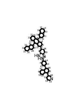 N=C1C=C(c2ccc3c(-c4ccc5ccccc5c4)c4ccccc4c(-c4ccc5ccccc5c4)c3c2)C=C/C1=N/Nc1ccc(-c2ccc(-c3cccnc3)c3ccccc23)cc1